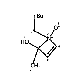 CCCCC[N+]1([O-])C=CC1(C)O